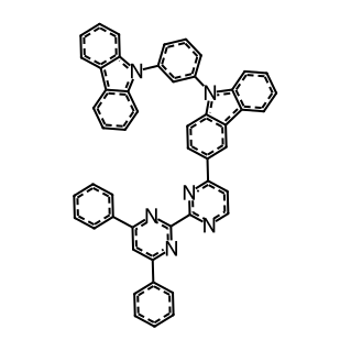 c1ccc(-c2cc(-c3ccccc3)nc(-c3nccc(-c4ccc5c(c4)c4ccccc4n5-c4cccc(-n5c6ccccc6c6ccccc65)c4)n3)n2)cc1